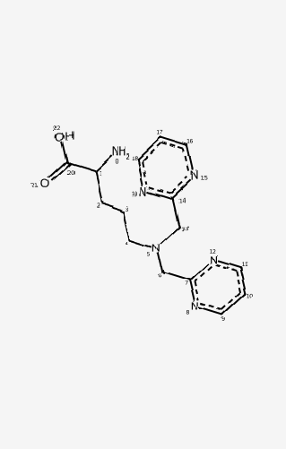 NC(CCCN(Cc1ncccn1)Cc1ncccn1)C(=O)O